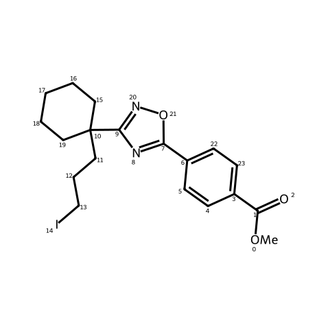 COC(=O)c1ccc(-c2nc(C3(CCCI)CCCCC3)no2)cc1